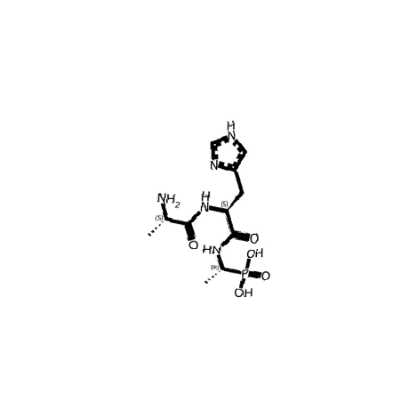 C[C@H](N)C(=O)N[C@@H](Cc1c[nH]cn1)C(=O)N[C@@H](C)P(=O)(O)O